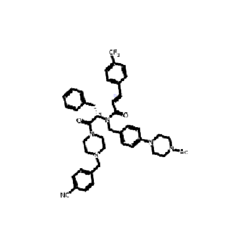 CC(=O)N1CCN(c2ccc(CN(C(=O)/C=C/c3ccc(C(F)(F)F)cc3)[C@@H](Cc3ccccc3)C(=O)N3CCN(Cc4ccc(C#N)cc4)CC3)cc2)CC1